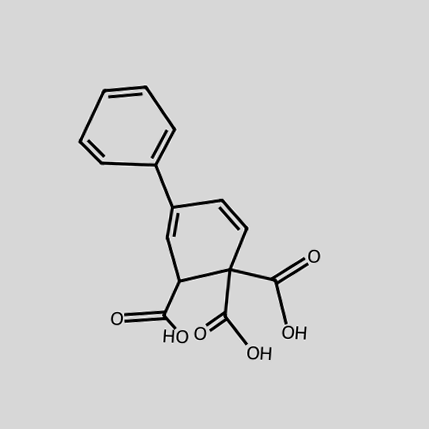 O=C(O)C1C=C(c2ccccc2)C=CC1(C(=O)O)C(=O)O